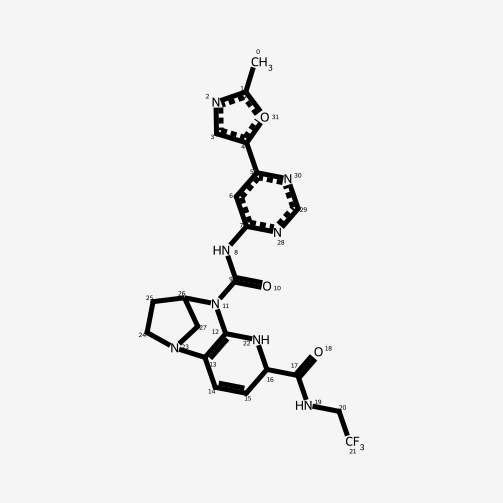 Cc1ncc(-c2cc(NC(=O)N3C4=C(C=CC(C(=O)NCC(F)(F)F)N4)N4CCC3C4)ncn2)o1